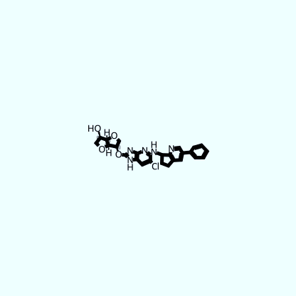 O[C@@H]1CO[C@H]2[C@@H]1OC[C@H]2Oc1nc2nc(NC3CCc4cc(-c5ccccc5)cnc43)c(Cl)cc2[nH]1